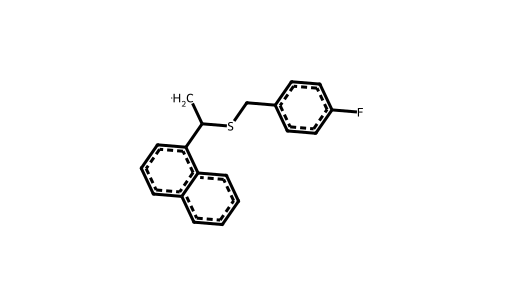 [CH2]C(SCc1ccc(F)cc1)c1cccc2ccccc12